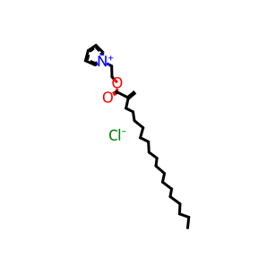 C=C(CCCCCCCCCCCCCCCCC)C(=O)OCC[n+]1ccccc1.[Cl-]